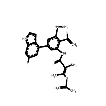 C=C(C)O/C(C)=C(\N)C(=O)Nc1cc(-c2cc(F)cc3[nH]ccc23)cc(NN)c1C(=C)F